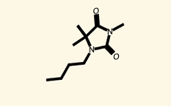 CCCCN1C(=O)N(C)C(=O)C1(C)C